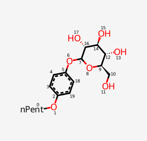 CCCCCOc1ccc(OC2O[C@H](CO)[C@@H](O)[C@H](O)[C@H]2O)cc1